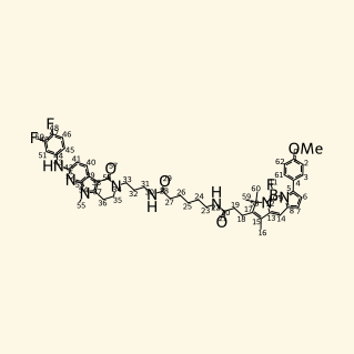 COc1ccc(-c2ccc3n2B(F)N2C(=C3)C(C)=C(CCC(=O)NCCCCCC(=O)NCCCN3CCc4c(c5ccc(Nc6ccc(F)c(F)c6)nc5n4C)C3=O)C2(C)C)cc1